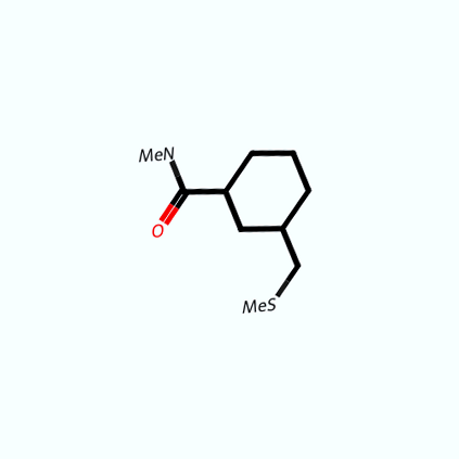 CNC(=O)C1CCCC(CSC)C1